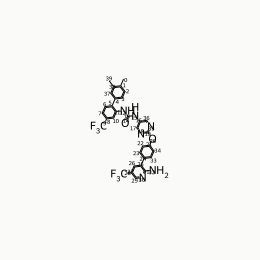 Cc1ccc(-c2ccc(C(F)(F)F)cc2NC(=O)Nc2cnc(Oc3ccc(-c4cc(C(F)(F)F)cnc4N)cc3)nc2)cc1C